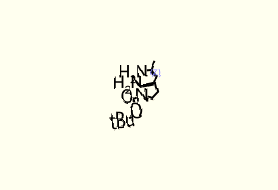 C/C(N)=C/C1=C(N)N(C(=O)OC(C)(C)C)CC1